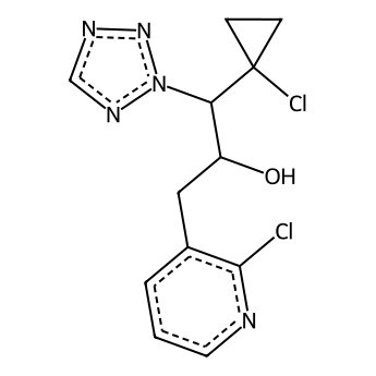 OC(Cc1cccnc1Cl)C(n1ncnn1)C1(Cl)CC1